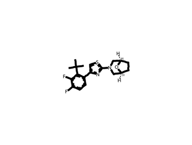 CC(C)(C)c1c(-c2csc(N3C[C@H]4CC[C@@H](C3)O4)n2)ccc(F)c1F